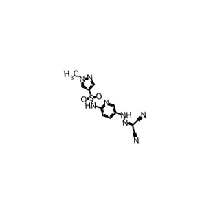 Cn1cc(S(=O)(=O)Nc2ccc(NN=C(C#N)C#N)cn2)cn1